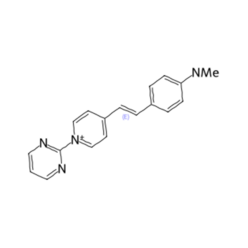 CNc1ccc(/C=C/c2cc[n+](-c3ncccn3)cc2)cc1